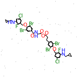 O=C(CCc1cc(Br)c(OCc2cc(Cl)cc(NCC3CC3)c2F)c(Br)c1)OC(=O)CNC(=O)c1cc(Br)c(OCc2cc(Cl)cc(NCC3CC3)c2F)c(Br)c1